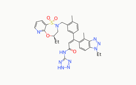 CC[C@@H]1CN(Cc2cc(C(=CC(=O)Nc3nn[nH]n3)c3ccc4c(nnn4CC)c3C)ccc2C)S(=O)(=O)c2cccnc2O1